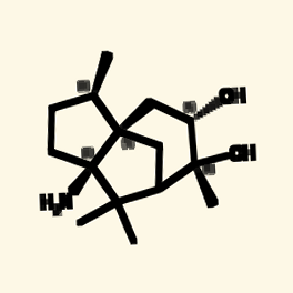 C[C@@H]1CC[C@@]2(N)C(C)(C)C3C[C@@]12C[C@H](O)[C@]3(C)O